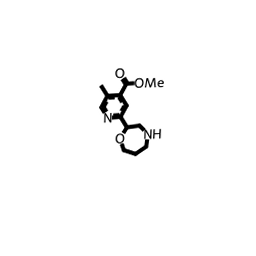 COC(=O)c1cc(C2CNCCCO2)ncc1C